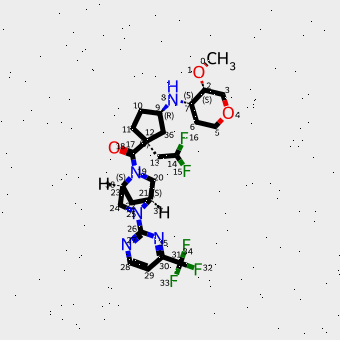 CO[C@@H]1COCC[C@@H]1N[C@@H]1CC[C@](CC(F)F)(C(=O)N2C[C@@H]3C[C@H]2CN3c2nccc(C(F)(F)F)n2)C1